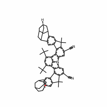 CC(C)(C)c1cc(C(C)(C)C)c2c3c4c(c(C#N)cc3n3c5cc(C#N)c6c(c5c1c23)-c1cc2c(cc1C6(C)C)C1CC3CC(CC2C3)C1)C(C)(C)c1cc2c(cc1-4)C1CC3CC2C[C@@H](C3)C1